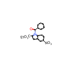 CCOC(=O)c1cc2cc([N+](=O)[O-])ccc2n1C(=O)c1ccccc1